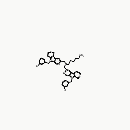 NCCCCCN(Cc1cc2c3ccccc3n(Cc3cccc(Cl)c3)c2cn1)Cc1cc2c3ccccc3n(Cc3cccc(Cl)c3)c2cn1